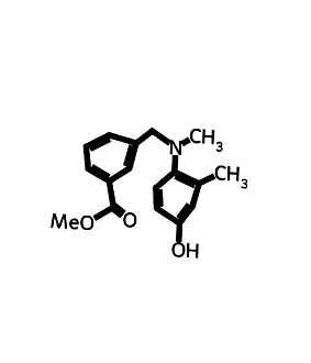 COC(=O)c1cccc(CN(C)c2ccc(O)cc2C)c1